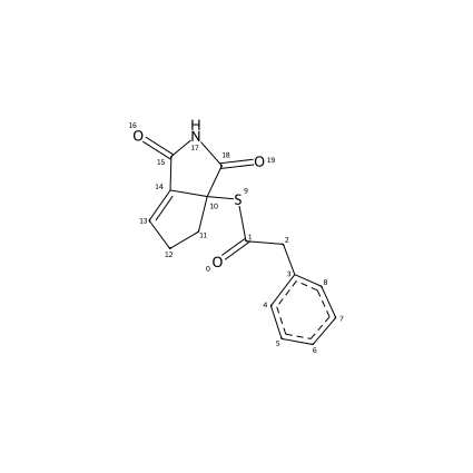 O=C(Cc1ccccc1)SC12CCC=C1C(=O)NC2=O